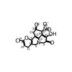 O=C1CN2CC3=C(OC(Cl)=CC3)C3=C2C(=C1O)C([N+](=O)[O-])C(=O)C3